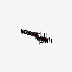 [N-]=[N+]=NCCOCCOCCOCCOCCOc1ccc(-c2ccc([C@H](CC(=O)O)NC(=O)CNC(=O)c3cc(O)cc(NC4=NCC(O)CN4)c3)cc2)c2ccccc12